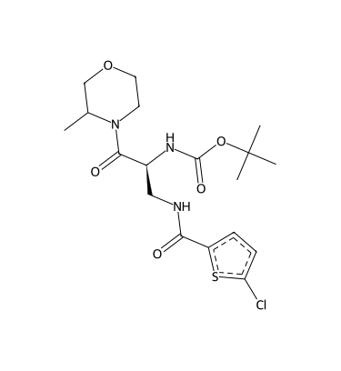 CC1COCCN1C(=O)[C@H](CNC(=O)c1ccc(Cl)s1)NC(=O)OC(C)(C)C